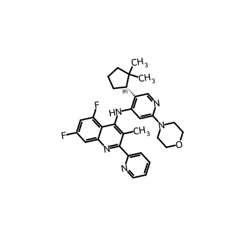 Cc1c(-c2ccccn2)nc2cc(F)cc(F)c2c1Nc1cc(N2CCOCC2)ncc1[C@@H]1CCCC1(C)C